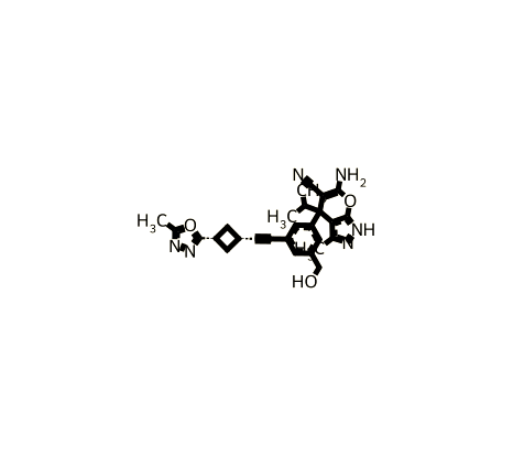 Cc1nnc([C@H]2C[C@@H](C#Cc3cc(CO)cc(C4(C(C)C)C(C#N)=C(N)Oc5[nH]nc(C)c54)c3)C2)o1